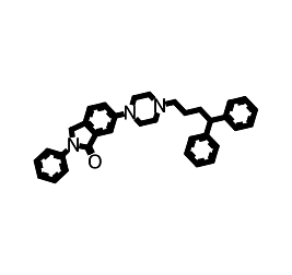 O=C1c2cc(N3CCN(CCCC(c4ccccc4)c4ccccc4)CC3)ccc2CN1c1ccccc1